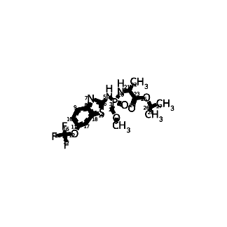 COCP(=O)(Nc1nc2ccc(OC(F)(F)F)cc2s1)NC(C)C(=O)OC(C)C